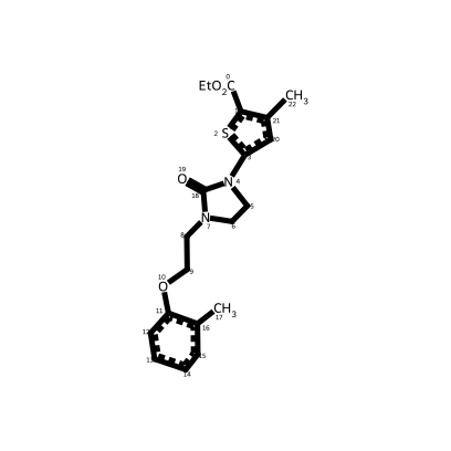 CCOC(=O)c1sc(N2CCN(CCOc3ccccc3C)C2=O)cc1C